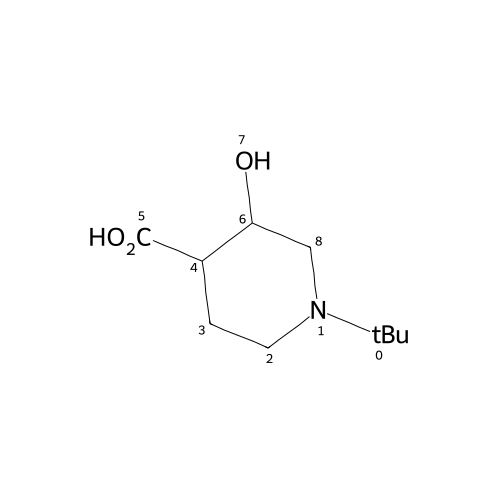 CC(C)(C)N1CCC(C(=O)O)C(O)C1